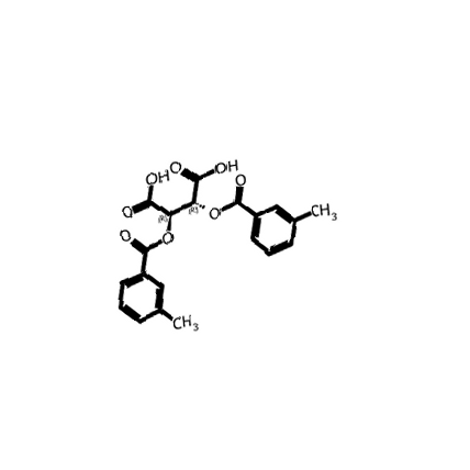 Cc1cccc(C(=O)O[C@@H](C(=O)O)[C@@H](OC(=O)c2cccc(C)c2)C(=O)O)c1